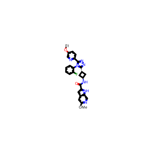 CCOc1ccc(-c2nnc([C@H]3C[C@H](NC(=O)c4cc5cc(OC)ncc5[nH]4)C3)n2-c2ccccc2F)nc1